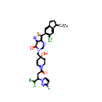 CNC1CCc2cc(-c3snc4c(=O)n(CC5(O)CCN(C(=O)CC(C(F)F)n6ccc(F)n6)CC5)cnc34)c(Cl)cc21